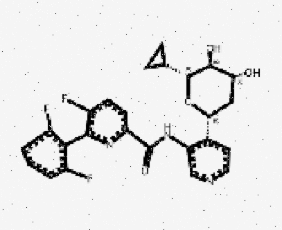 O=C(Nc1cnccc1[C@H]1C[C@@H](O)[C@H](O)[C@@H](C2CC2)O1)c1ccc(F)c(-c2c(F)cccc2F)n1